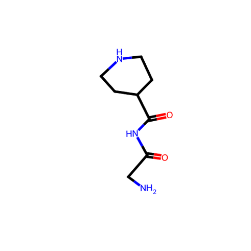 NCC(=O)NC(=O)C1CCNCC1